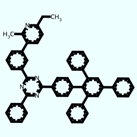 CCc1ccc(-c2cccc(-c3nc(-c4ccccc4)nc(-c4ccc(-c5c(-c6ccccc6)cc(-c6ccccc6)cc5-c5ccccc5)cc4)n3)c2)c(C)n1